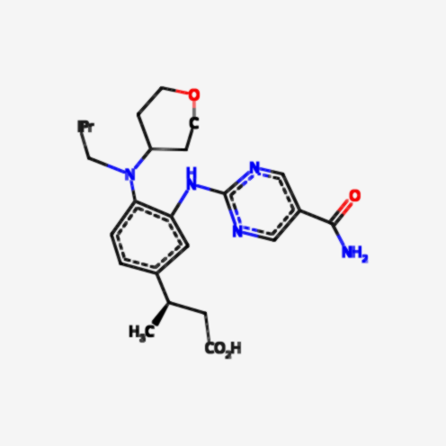 CC(C)CN(c1ccc([C@H](C)CC(=O)O)cc1Nc1ncc(C(N)=O)cn1)C1CCOCC1